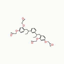 CCC(Cc1ccc(OCC2CO2)cc1OCC1CO1)c1cccc(C(CC)Cc2ccc(OCC3CO3)cc2OCC2CO2)c1